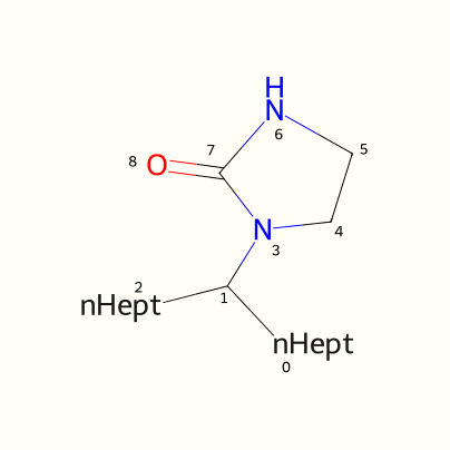 CCCCCCCC(CCCCCCC)N1CCNC1=O